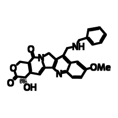 COc1ccc2nc3c(c(CNCc4ccccc4)c2c1)Cn1c-3cc2c(c1=O)COC(=O)[C@H]2O